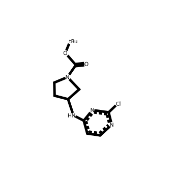 CC(C)(C)OC(=O)N1CCC(Nc2ccnc(Cl)n2)C1